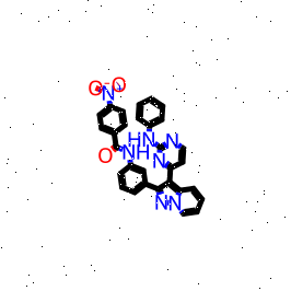 O=C(Nc1cccc(-c2nn3ccccc3c2-c2ccnc(Nc3ccccc3)n2)c1)c1ccc([N+](=O)[O-])cc1